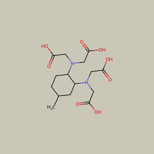 CC1CCC(N(CC(=O)O)CC(=O)O)C(N(CC(=O)O)CC(=O)O)C1